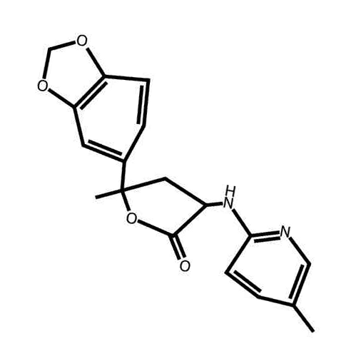 Cc1ccc(NC2CC(C)(c3ccc4c(c3)OCO4)OC2=O)nc1